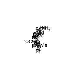 CO[C@]1(NC(=O)CSC(F)F)C(=O)N2C(C(=O)[O-])=C(CSC(=O)c3cn(C4CC4)c4c(Cl)c(N5CCC(N)C5)c(F)cc4c3=O)CO[C@@H]21.[Na+]